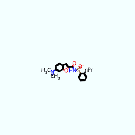 CCCc1ccccc1[S+]([O-])NC(=O)c1cc2ccc(N(C)C)cc2o1